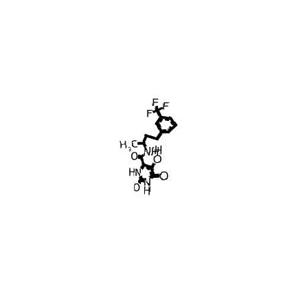 CC(CCc1cccc(C(F)(F)F)c1)NC(=O)c1[nH]c(=O)[nH]c(=O)c1O